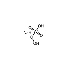 [NaH].[O]=[W](=[O])([OH])[O]O